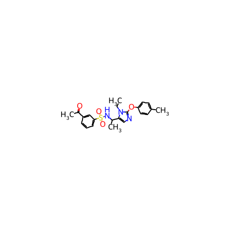 CCn1c(C(C)NS(=O)(=O)c2cccc(C(C)=O)c2)cnc1Oc1ccc(C)cc1